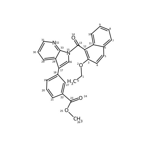 CCOc1ccc2ccccc2c1C(=O)n1cc(-c2cccc(C(=O)OC)c2)c2cccnc21